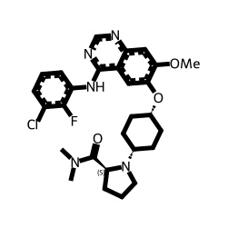 COc1cc2ncnc(Nc3cccc(Cl)c3F)c2cc1O[C@H]1CC[C@@H](N2CCC[C@H]2C(=O)N(C)C)CC1